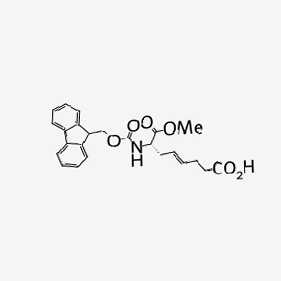 COC(=O)[C@H](CC=CCCC(=O)O)NC(=O)OCC1c2ccccc2-c2ccccc21